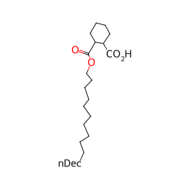 CCCCCCCCCCCCCCCCCCCCOC(=O)C1CCCCC1C(=O)O